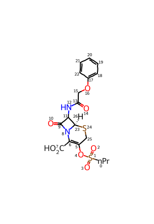 CCCS(=O)(=O)OC1=C(C(=O)O)N2C(=O)C(NC(=O)COc3ccccc3)[C@H]2SC1